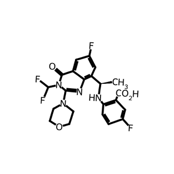 C[C@@H](Nc1ccc(F)cc1C(=O)O)c1cc(F)cc2c(=O)n(C(F)F)c(N3CCOCC3)nc12